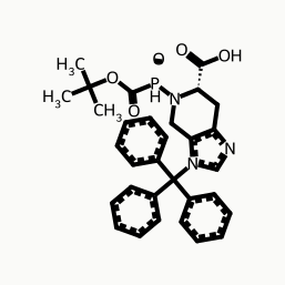 CC(C)(C)OC(=O)[PH](=O)N1Cc2c(ncn2C(c2ccccc2)(c2ccccc2)c2ccccc2)C[C@H]1C(=O)O